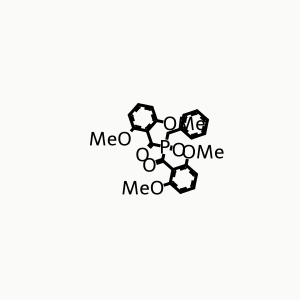 COc1cccc(OC)c1C(=O)P(=O)(Cc1ccccc1)C(=O)c1c(OC)cccc1OC